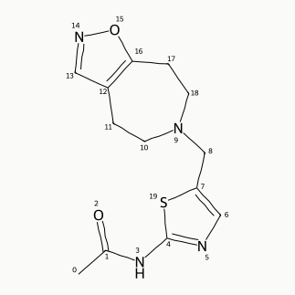 CC(=O)Nc1ncc(CN2CCc3cnoc3CC2)s1